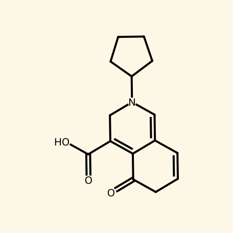 O=C(O)C1=C2C(=O)CC=CC2=CN(C2CCCC2)C1